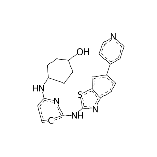 OC1CCC(Nc2cccc(Nc3nc4ccc(-c5ccncc5)cc4s3)n2)CC1